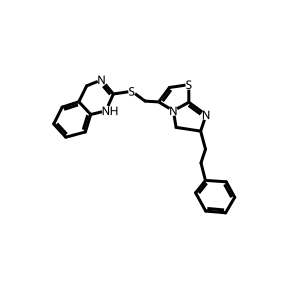 C1=C(CSC2=NCc3ccccc3N2)N2CC(CCc3ccccc3)N=C2S1